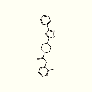 Cc1ncccc1OC(=O)N1CCC(c2nc(-c3ccccc3)no2)CC1